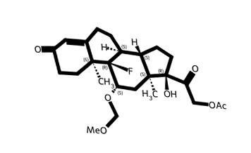 COCO[C@H]1C[C@@]2(C)[C@@H](CC[C@]2(O)C(=O)COC(C)=O)[C@@H]2CCC3=CC(=O)CC[C@]3(C)[C@@]12F